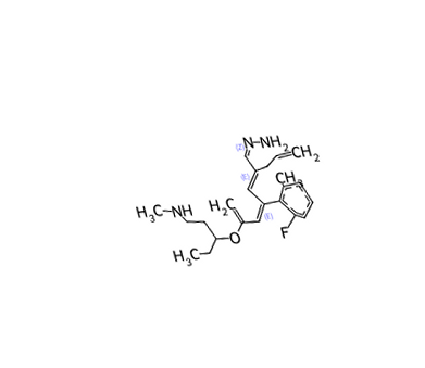 C=CCC(/C=N\N)=C\C(=C/C(=C)OC(CC)CCNC)c1c(C)cccc1F